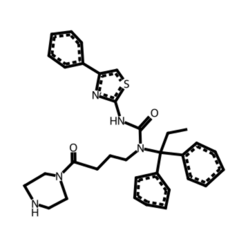 CCC(c1ccccc1)(c1ccccc1)N(CCCC(=O)N1CCNCC1)C(=O)Nc1nc(-c2ccccc2)cs1